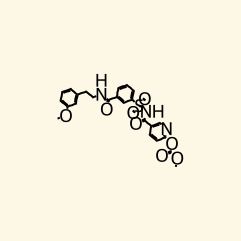 COC(=O)Oc1ccc(C(=O)NS(=O)(=O)c2cccc(C(=O)NCCc3cccc(OC)c3)c2)cn1